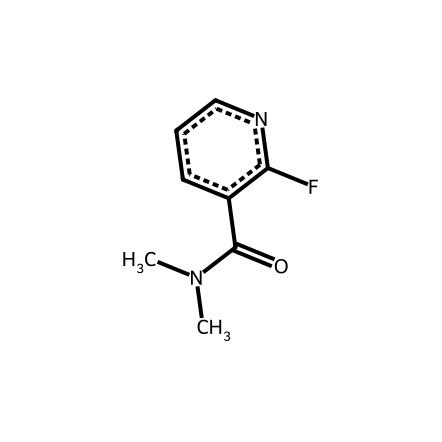 CN(C)C(=O)c1cccnc1F